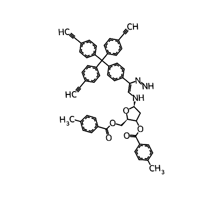 C#Cc1ccc(C(c2ccc(C#C)cc2)(c2ccc(C#C)cc2)c2ccc(/C(=C/N[C@H]3CC(OC(=O)c4ccc(C)cc4)[C@@H](COC(=O)c4ccc(C)cc4)O3)N=N)cc2)cc1